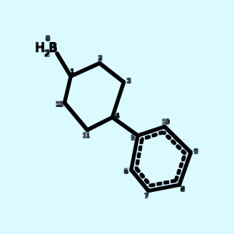 BC1CCC(c2ccccc2)CC1